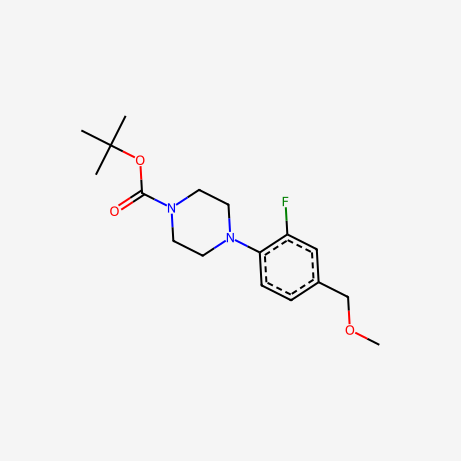 COCc1ccc(N2CCN(C(=O)OC(C)(C)C)CC2)c(F)c1